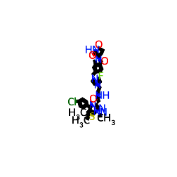 Cc1sc2c(c1C)C(c1ccc(Cl)cc1)=N[C@@H](CC(=O)NCCN1CCN(Cc3cc4c(cc3F)C(=O)N(C3CCC(=O)NC3=O)C4)CC1)c1nnc(C)n1-2